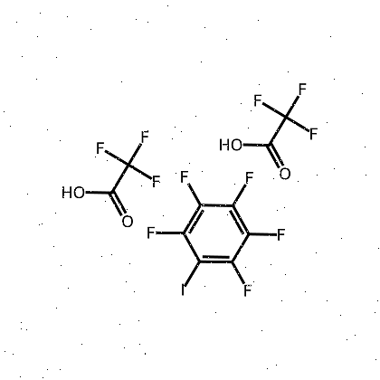 Fc1c(F)c(F)c(I)c(F)c1F.O=C(O)C(F)(F)F.O=C(O)C(F)(F)F